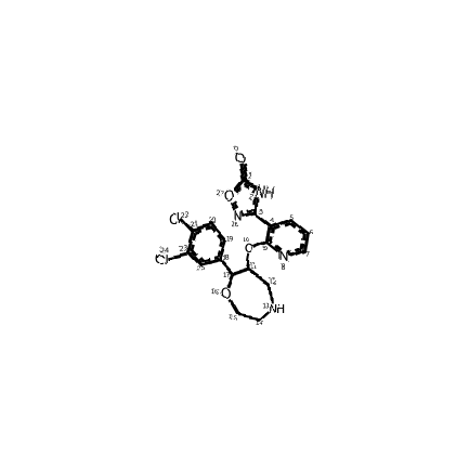 O=c1[nH]c(-c2cccnc2OC2CNCCOC2c2ccc(Cl)c(Cl)c2)no1